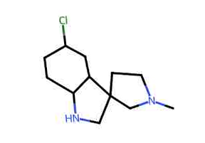 CN1CCC2(CNC3CCC(Cl)CC32)C1